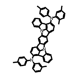 Cc1ccc(N(c2cccc(C)c2)c2ccc3c4cc5c(cc4n4c6ccccc6c2c34)c2ccc(N(c3ccc(C)cc3)c3cc(C)ccc3C)c3c4ccccc4n5c23)cc1